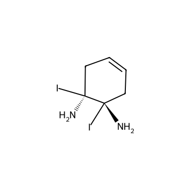 N[C@]1(I)CC=CC[C@]1(N)I